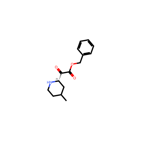 CC1CCN[C@H](C(=O)C(=O)OCc2ccccc2)C1